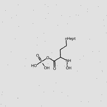 CCCCCCCCCC(NO)C(=O)OP(=O)(O)O